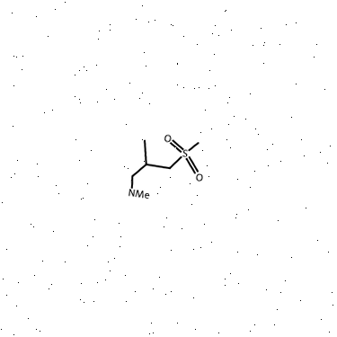 CNCC(C)CS(C)(=O)=O